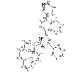 c1ccc(-c2cc(-c3ccc(-c4cccnc4)c4ccccc34)nc(-c3ccc4ccc5cccc6ccc3c4c56)n2)cc1